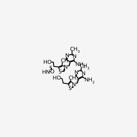 Cc1ncc(C[n+]2csc(CCO)c2C)c(N)n1.Cc1ncc(C[n+]2csc(CCO)c2C)c(N)n1.[nH]1os1